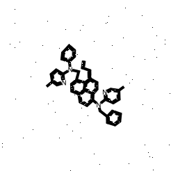 C=C/C=c1/ccc2c(N(Cc3ccccc3)c3ccc(C)cn3)ccc3ccc(CN(c4ccccc4)c4ccc(C)cn4)c1c32